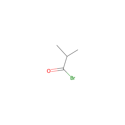 CC(C)C(=O)Br